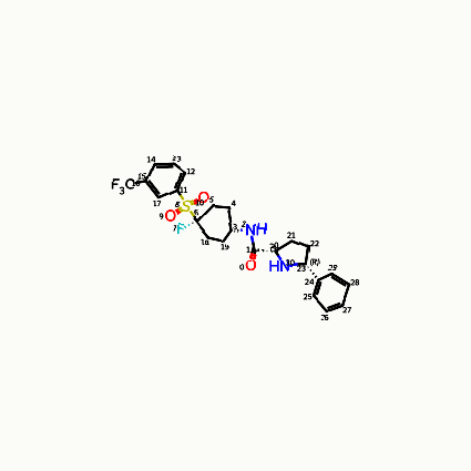 O=C(N[C@H]1CC[C@](F)(S(=O)(=O)c2cccc(C(F)(F)F)c2)CC1)[C@@H]1CC[C@H](c2ccccc2)N1